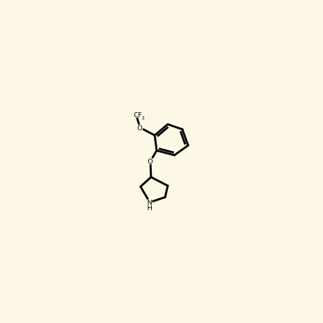 FC(F)(F)Oc1ccccc1OC1CCNC1